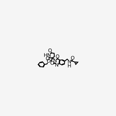 Cc1nc2ccc(CNC(=O)C3CC3)cc2c(=O)n1[C@]1(C(=O)OCc2ccccc2)CCC(=O)NC1=O